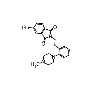 CN1CCN(c2ccccc2CCN2C(=O)c3ccc(C(C)(C)C)cc3C2=O)CC1